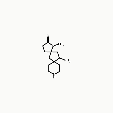 CN1C(=O)CCC12CC(N)C1(CCNCC1)C2